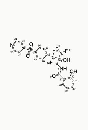 O=C(NCC(O)(C(F)F)C(F)(F)c1ccc(S(=O)(=O)c2ccncc2)cc1)c1ccccc1O